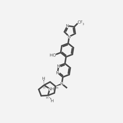 CN(c1ccc(-c2ccc(-n3cnc(C(F)(F)F)c3)cc2O)nn1)[C@H]1C[C@H]2CC[C@@H](C1)N2